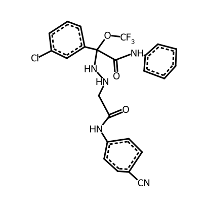 N#Cc1ccc(NC(=O)CNNC(OC(F)(F)F)(C(=O)Nc2ccccc2)c2cccc(Cl)c2)cc1